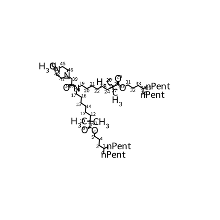 CCCCCC(CCCCC)CCCOC(=O)C(C)(C)CCCCCCN(CCCCCCC(C)(C)C(=O)OCCCC(CCCCC)CCCCC)C(=O)CN1CCN(C)CC1